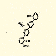 COc1cccc(-c2ccc(-c3ccc(-c4ccccc4O)cn3)nc2)c1O.[Cl-].[Cl-].[Cl-].[Mn+3]